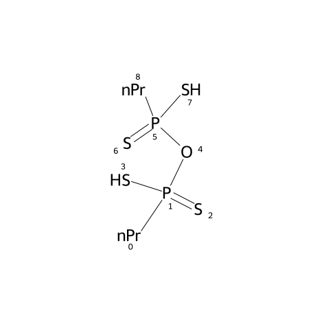 CCCP(=S)(S)OP(=S)(S)CCC